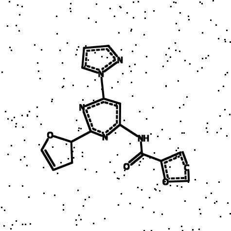 O=C(Nc1cc(-n2cccn2)nc(C2CC=CO2)n1)c1ccco1